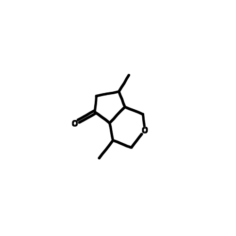 CC1CC(=O)C2C(C)COCC12